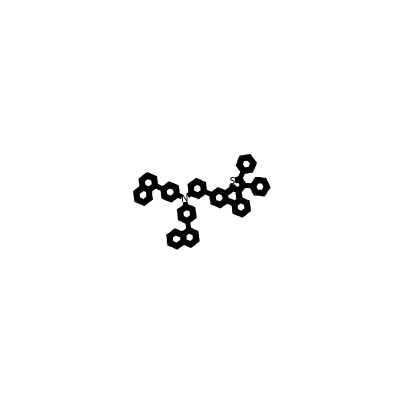 c1ccc(-c2sc3c4cc(-c5cccc(N(c6ccc(-c7cccc8ccccc78)cc6)c6ccc(-c7cccc8ccccc78)cc6)c5)ccc4c4ccccc4c3c2-c2ccccc2)cc1